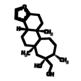 C[C@H]1CCC2[C@](C)(CC[C@@H]3c4ccoc4CC[C@@]23C)C[C@]1(O)CO